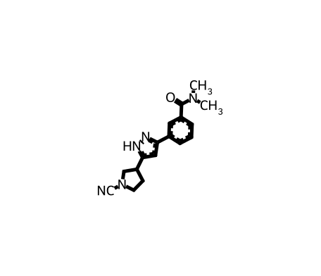 CN(C)C(=O)c1cccc(-c2cc(C3CCN(C#N)C3)[nH]n2)c1